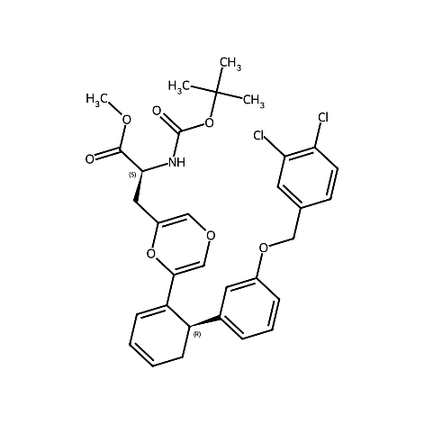 COC(=O)[C@H](CC1=COC=C(C2=CC=CC[C@@H]2c2cccc(OCc3ccc(Cl)c(Cl)c3)c2)O1)NC(=O)OC(C)(C)C